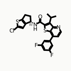 CC(C)c1c(C(=O)N[C@H]2CCc3sc(Cl)cc32)sc2c(-c3cc(F)cc(F)c3)ccnc12